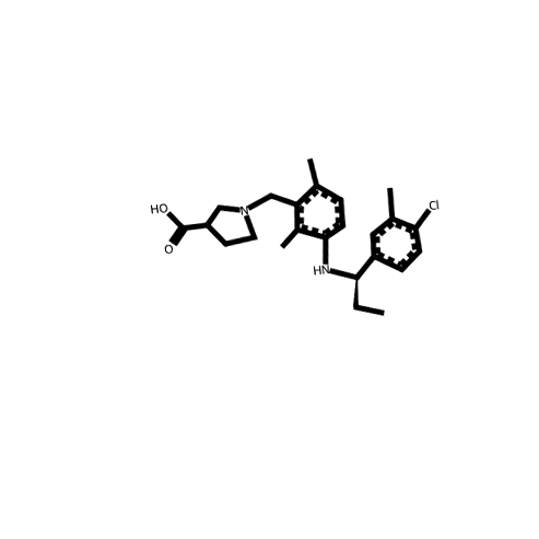 CC[C@@H](Nc1ccc(C)c(CN2CCC(C(=O)O)C2)c1C)c1ccc(Cl)c(C)c1